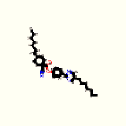 CCCCCCCc1cnc(-c2ccc(OC(=O)C3(C#N)CCC(CCCCCCC)CC3)cc2)nc1